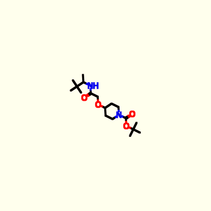 CC(NC(=O)COC1CCN(C(=O)OC(C)(C)C)CC1)C(C)(C)C